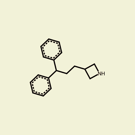 c1ccc(C(CCC2CNC2)c2ccccc2)cc1